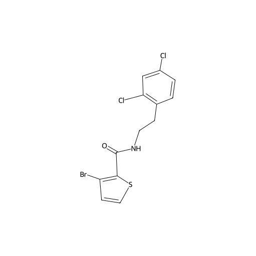 O=C(NCCc1ccc(Cl)cc1Cl)c1sccc1Br